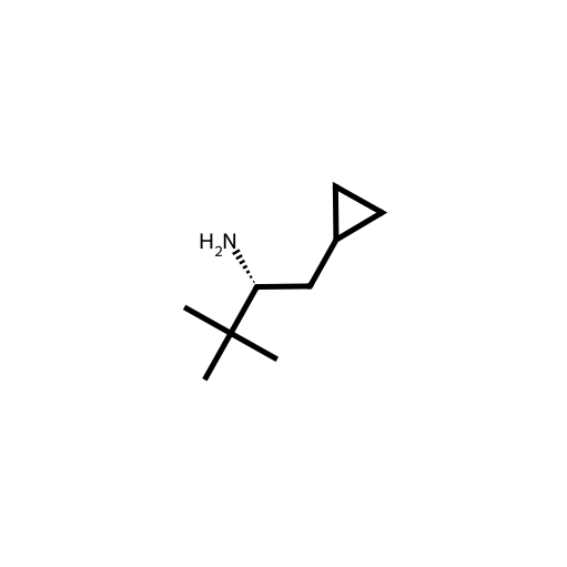 CC(C)(C)[C@H](N)CC1CC1